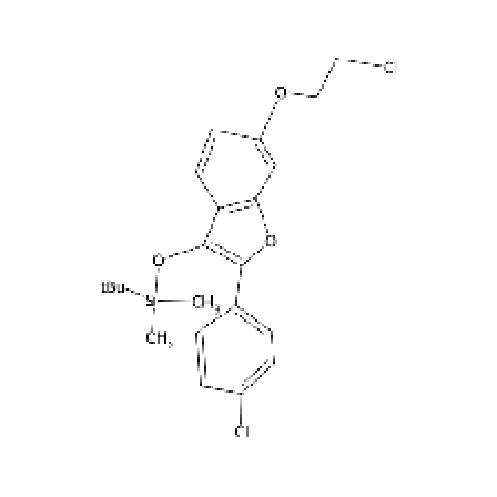 CC(C)(C)[Si](C)(C)Oc1c(-c2ccc(Cl)cc2)oc2cc(OCCCl)ccc12